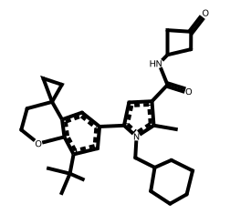 Cc1c(C(=O)NC2CC(=O)C2)cc(-c2cc(C(C)(C)C)c3c(c2)C2(CCO3)CC2)n1CC1CCCCC1